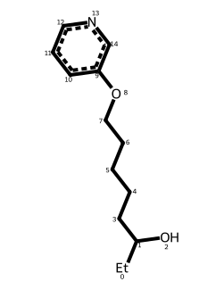 [CH2]CC(O)CCCCCOc1cccnc1